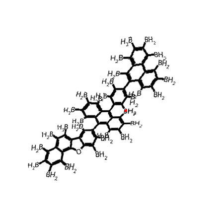 Bc1c(B)c(-c2c(B)c3c(B)c(B)c(B)c(B)c3c3c(B)c(B)c(B)c(B)c23)c(B)c(B)c1-c1c2c(B)c(B)c(B)c(B)c2c(-c2c(B)c(B)c3oc4c5c(B)c(B)c(B)c(B)c5c(B)c(B)c4c3c2B)c2c(B)c(B)c(B)c(B)c12